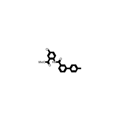 COC(=O)c1cc(Cl)ccc1NC(=O)c1cccc(-c2ccc(C)cc2)c1